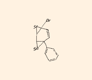 BrC12C=CC3(c4ccccc4)[Se]C3C1[Se]2